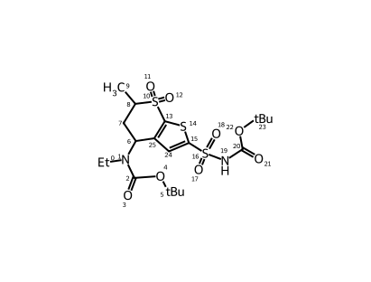 CCN(C(=O)OC(C)(C)C)C1CC(C)S(=O)(=O)c2sc(S(=O)(=O)NC(=O)OC(C)(C)C)cc21